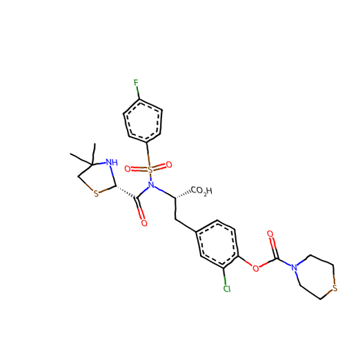 CC1(C)CS[C@@H](C(=O)N([C@@H](Cc2ccc(OC(=O)N3CCSCC3)c(Cl)c2)C(=O)O)S(=O)(=O)c2ccc(F)cc2)N1